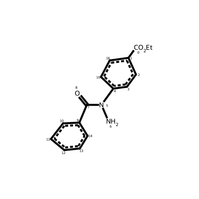 CCOC(=O)c1ccc(N(N)C(=O)c2ccccc2)cc1